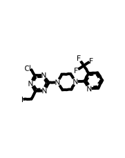 FC(F)(F)c1cccnc1N1CCN(c2nc(Cl)nc(CI)n2)CC1